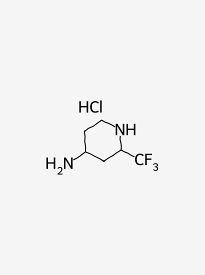 Cl.NC1CCNC(C(F)(F)F)C1